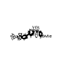 CCCCn1cnc2ccc(-c3ccc(NC(=O)Nc4ccc(OC)cc4)nc3)cc2c1=O